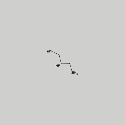 CCCCCC[SiH3].F